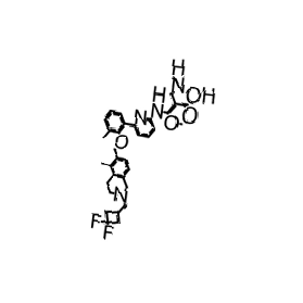 CO/C(Nc1cccc(-c2cccc(C)c2OCc2ccc3c(c2C)CCN(CC2CC(F)(F)C2)C3)n1)=C(/C=N)C(=O)O